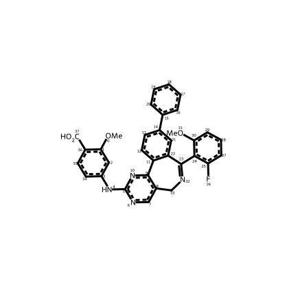 COc1cc(Nc2ncc3c(n2)-c2ccc(-c4ccccc4)cc2C(c2c(F)cccc2OC)=NC3)ccc1C(=O)O